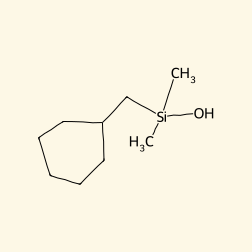 C[Si](C)(O)CC1CCCCC1